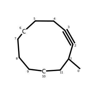 CC1C#CCCCCCCCC1